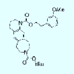 COc1cccc(CCOC(=O)N2CCCc3cc4c(cc32)CCN(C(=O)OC(C)(C)C)CC4)c1